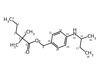 CCCC(C)(C)C(=O)OCc1ccc(NC(C)CC)cc1